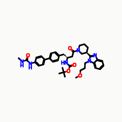 CNC(=O)Nc1ccc(-c2ccc(C[C@H](CC(=O)N3CCC[C@@H](c4nc5ccccc5n4CCCOC)C3)NC(=O)OC(C)(C)C)cc2)cc1